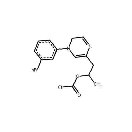 CCCc1cccc(N2C=C(CC(C)OC(=O)CC)N=CC2)c1